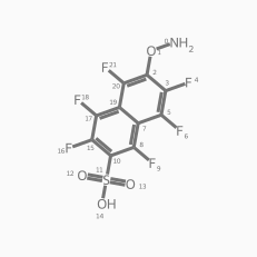 NOc1c(F)c(F)c2c(F)c(S(=O)(=O)O)c(F)c(F)c2c1F